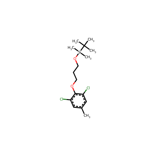 Cc1cc(Cl)c(OCCCO[Si](C)(C)C(C)(C)C)c(Cl)c1